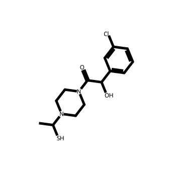 CC(S)N1CCN(C(=O)C(O)c2cccc(Cl)c2)CC1